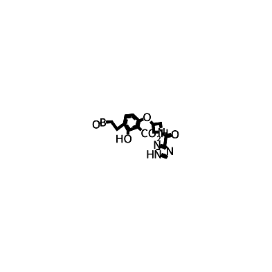 O=BCCc1ccc(OC2CN(C(=O)c3nc[nH]n3)C2)c(C(=O)O)c1O